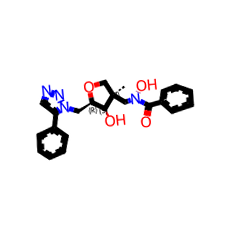 C[C@@]1(CN(O)C(=O)c2ccccc2)CO[C@H](Cn2nncc2-c2ccccc2)[C@H]1O